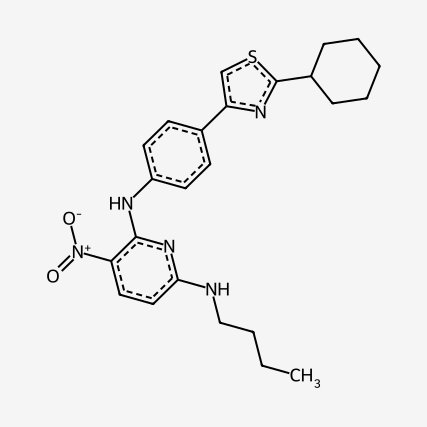 CCCCNc1ccc([N+](=O)[O-])c(Nc2ccc(-c3csc(C4CCCCC4)n3)cc2)n1